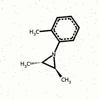 Cc1ccccc1N1[C@@H](C)[C@@H]1C